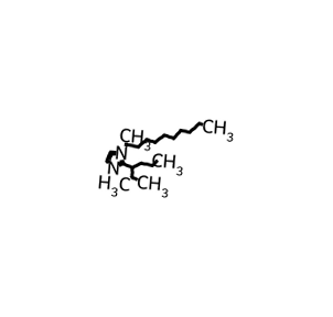 CCCCCCCCCC(C)n1ccnc1C(CCC)C(C)C